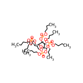 CCCCOP(=O)(OCCCC)OC[C@H]1O[C@H](COP(=O)(OCCCC)OCCCC)[C@@H](OP(=O)(OCCCC)OCCCC)[C@@H]1OP(=O)(OCCCC)OCCCC